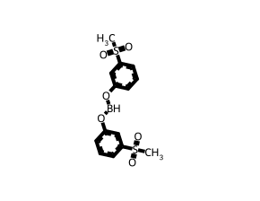 CS(=O)(=O)c1cccc(OBOc2cccc(S(C)(=O)=O)c2)c1